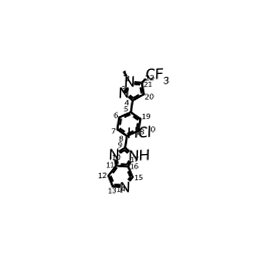 Cl.Cn1nc(-c2ccc(-c3nc4ccncc4[nH]3)cc2)cc1C(F)(F)F